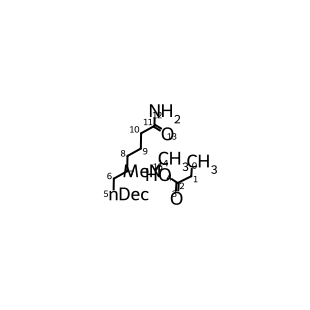 CCC(=O)O.CCCCCCCCCCCCCCCC(N)=O.CNC